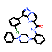 O=C(Nc1ccccc1N1CCN(c2ccccc2)CC1)c1ccn2ncc(-c3cccc(Cl)c3)c2n1